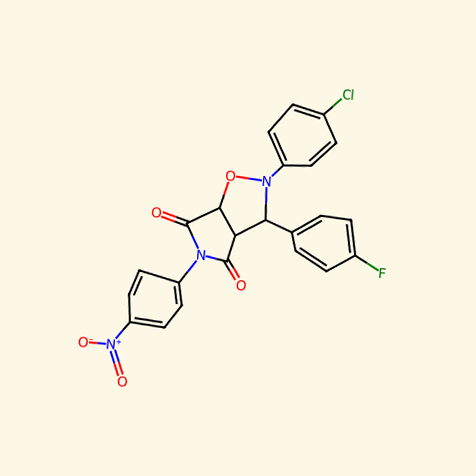 O=C1C2ON(c3ccc(Cl)cc3)C(c3ccc(F)cc3)C2C(=O)N1c1ccc([N+](=O)[O-])cc1